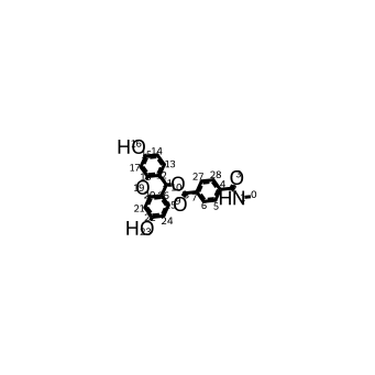 CNC(=O)c1ccc(C(=O)OC2c3ccc(O)cc3Oc3cc(O)ccc32)cc1